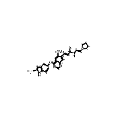 COc1cc2c(Oc3ccc4[nH]c(C)cc4c3)ncnc2cc1C=CC(=O)NCCN1CCCC1